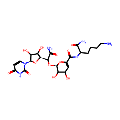 NCCCCC(NC(=O)C1=CC(O)C(O)[C@@H](OC(C(N)=O)[C@H]2O[C@@H](n3ccc(=O)[nH]c3=O)C(O)C2O)O1)C(N)=O